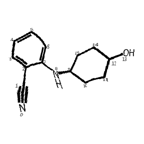 N#Cc1ccccc1NC1CCC(O)CC1